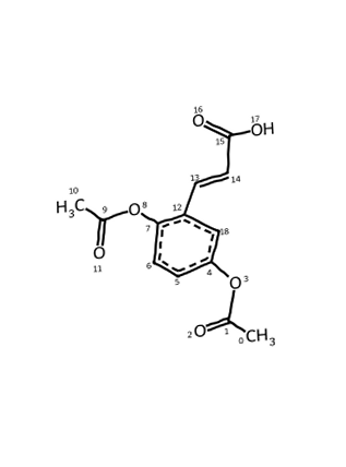 CC(=O)Oc1ccc(OC(C)=O)c(C=CC(=O)O)c1